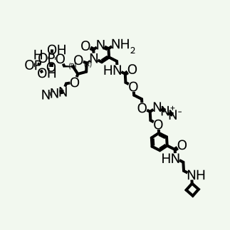 [N-]=[N+]=NCOC1C[C@H](n2cc(CNC(=O)COCCOC(COc3cccc(C(=O)NCCNC4CCC4)c3)N=[N+]=[N-])c(N)nc2=O)O[C@@H]1COP(=O)(O)O[PH](=O)O